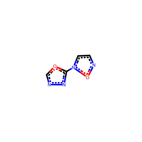 c1c[n+](-c2nnco2)on1